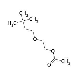 CC(=O)OCCOCCC(C)(C)C